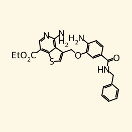 CCOC(=O)c1cnc(N)c2c(COc3cc(C(=O)NCc4ccccc4)ccc3N)csc12